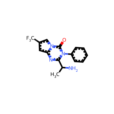 CC(N)c1nc2cc(C(F)(F)F)cn2c(=O)n1-c1ccccc1